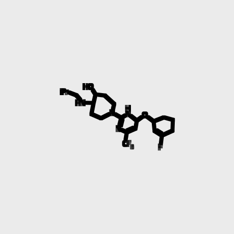 CC(C)CNC1CCN(C2=NC(C(F)(F)F)=CC(OC3C=C(F)CCC3)N2)CCC1O